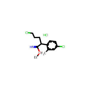 CCOC(=N)C(CCCCl)c1ccc(Cl)cc1C(F)(F)F.Cl